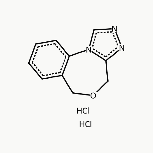 Cl.Cl.c1ccc2c(c1)COCc1nncn1-2